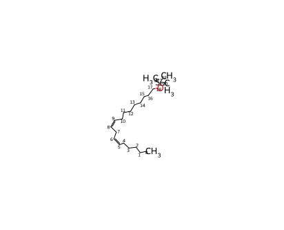 CCCCC/C=C\C/C=C\CCCCCCCCO[Si](C)(C)C